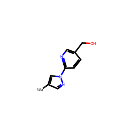 CC(C)(C)c1cnn(-c2ccc(CO)cn2)c1